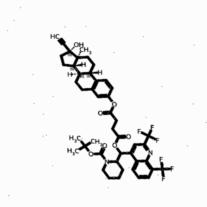 C#C[C@]1(O)CC[C@H]2[C@@H]3CCc4cc(OC(=O)CCC(=O)OC(c5cc(C(F)(F)F)nc6c(C(F)(F)F)cccc56)C5CCCCN5C(=O)OC(C)(C)C)ccc4[C@H]3CC[C@@]21C